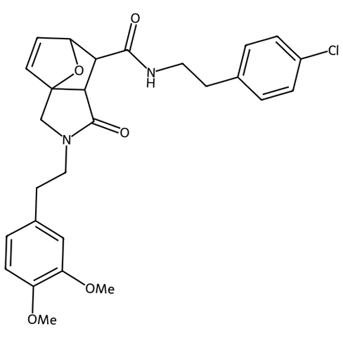 COc1ccc(CCN2CC34C=CC(O3)C(C(=O)NCCc3ccc(Cl)cc3)C4C2=O)cc1OC